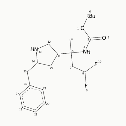 CC(C)(C)OC(=O)NC(C)(CC(F)F)C1CNC(Cc2ccccc2)C1